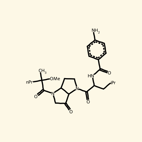 CCCC(C)(OC)C(=O)N1CC(=O)C2C1CCN2C(=O)C(CC(C)C)NC(=O)c1ccc(N)cc1